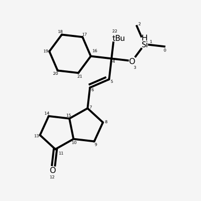 C[SiH](C)OC(C=CC1CCC2C(=O)CCC12)(C1CCCCC1)C(C)(C)C